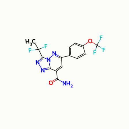 CC(F)(F)c1nnc2c(C(N)=O)cc(-c3ccc(OC(F)(F)F)cc3)nn12